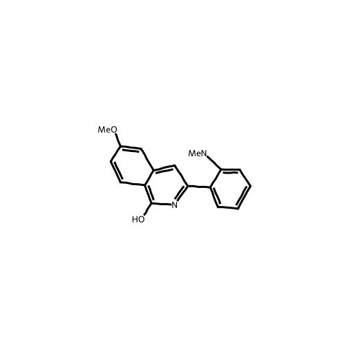 CNc1ccccc1-c1cc2cc(OC)ccc2c(O)n1